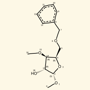 CO[C@H]1O[C@H](COCc2ccccc2)[C@H](OC)[C@H]1O